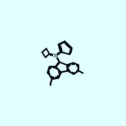 Cc1ccc2c(c1)-c1cc(C)ccc1[CH]2[Zr]([C]1=CC=CC1)=[C]1CCC1